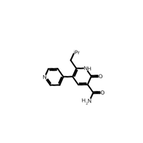 CC(C)Cc1[nH]c(=O)c(C(N)=O)cc1-c1ccncc1